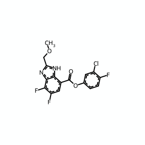 COCc1nc2c(F)c(F)cc(C(=O)Oc3ccc(F)c(Cl)c3)c2[nH]1